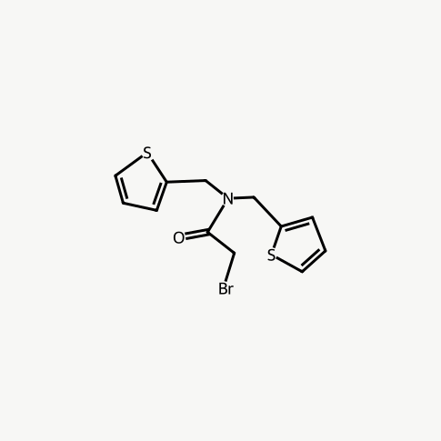 O=C(CBr)N(Cc1cccs1)Cc1cccs1